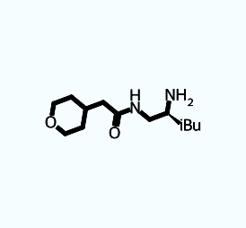 CCC(C)[C@H](N)CNC(=O)CC1CCOCC1